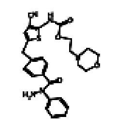 N#Cc1cc(Cc2ccc(C(=O)N(N)c3ccccc3)cc2)sc1NC(=O)OCCN1CCOCC1